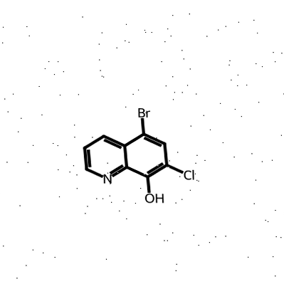 Oc1c(Cl)cc(Br)c2cccnc12